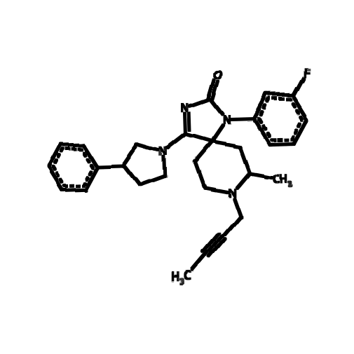 CC#CCN1CCC2(CC1C)C(N1CCC(c3ccccc3)C1)=NC(=O)N2c1cccc(F)c1